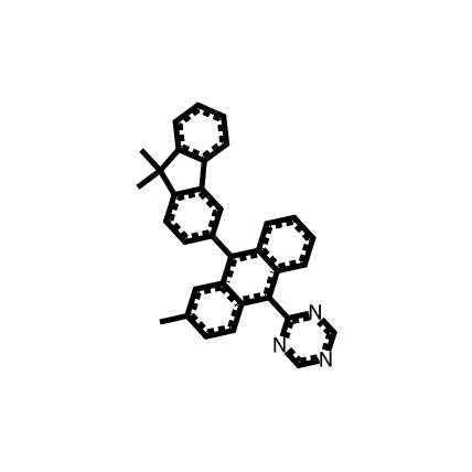 Cc1ccc2c(-c3ncncn3)c3ccccc3c(-c3ccc4c(c3)-c3ccccc3C4(C)C)c2c1